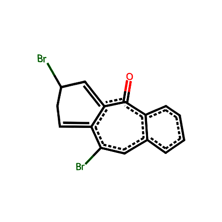 O=c1c2c(c(Br)cc3ccccc13)=CCC(Br)C=2